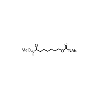 CNC(=O)OCCCCCCC(=O)N(C)OC